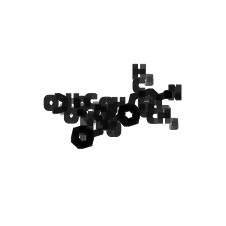 COc1ccc(S(=O)(=O)N(Cc2ccccc2)[C@H](NC(=O)O[C@H]2CCOC2)[C@@H](C)O)cc1CC(C)(C)CCC#N